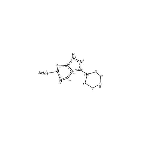 CC(=O)Nc1cc2[nH]nc(N3CCOCC3)c2cn1